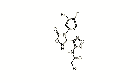 O=C(CBr)Nc1nonc1C1NOC(=O)N1c1ccc(F)c(Br)c1